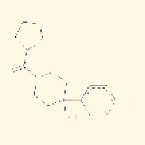 O=C(C1CCSN1)N1CCC(O)(c2ccc(Cl)cc2)CC1